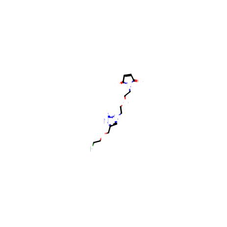 O=C1C=CC(=O)N1CCOCCn1cc(COCC[18F])nn1